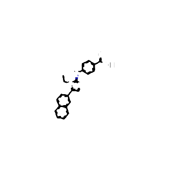 CCn1c(-c2ccc3ccccc3c2)cs/c1=N\c1ccc(C(=O)O)cc1